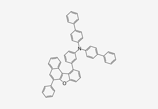 c1ccc(-c2ccc(N(c3ccc(-c4ccccc4)cc3)c3cccc(-c4cccc5oc6c(-c7ccccc7)cc7ccccc7c6c45)c3)cc2)cc1